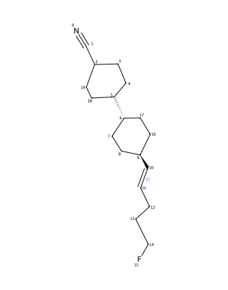 N#CC1CCC([C@H]2CC[C@H](/C=C/CCCF)CC2)CC1